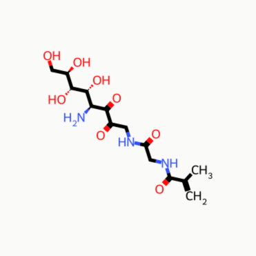 C=C(C)C(=O)NCC(=O)NCC(=O)C(=O)[C@@H](N)[C@@H](O)[C@H](O)[C@H](O)CO